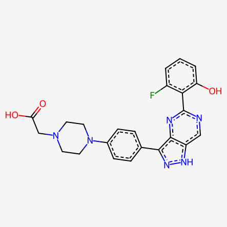 O=C(O)CN1CCN(c2ccc(-c3n[nH]c4cnc(-c5c(O)cccc5F)nc34)cc2)CC1